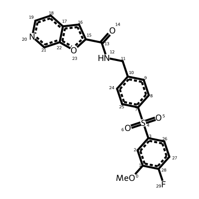 COc1cc(S(=O)(=O)c2ccc(CNC(=O)c3cc4ccncc4o3)cc2)ccc1F